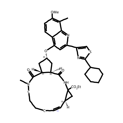 CCOC(=O)C12C[C@H]1/C=C\CCCCN(C)C(=O)[C@@H]1C[C@H](Oc3cc(-c4csc(C5CCCCC5)n4)nc4c(C)c(OC)ccc34)C[C@H]1C(=O)N2